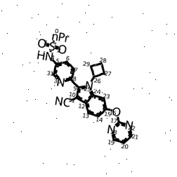 CCCS(=O)(=O)Nc1ccc(-c2c(C#N)c3ccc(Oc4ncccn4)cc3n2C2CCC2)nc1